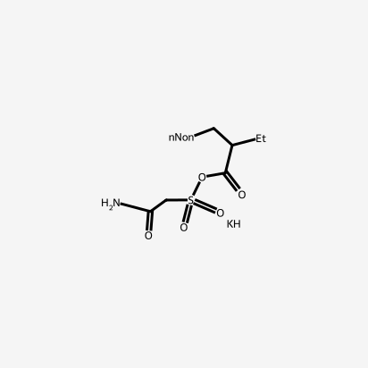 CCCCCCCCCCC(CC)C(=O)OS(=O)(=O)CC(N)=O.[KH]